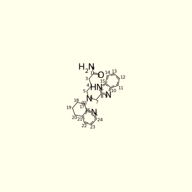 NC(=O)CCCN(Cc1nc2ccccc2[nH]1)[C@H]1CCCc2cccnc21